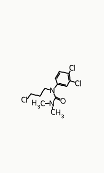 CN(C)C(=O)N(CCCCl)c1ccc(Cl)c(Cl)c1